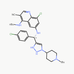 CCCCNc1c(C#N)cnc2c(Cl)cc(N[C@H](C3=CN(C4CCN(C(C)(C)C)CC4)NN3)c3ccc(Cl)cc3)cc12